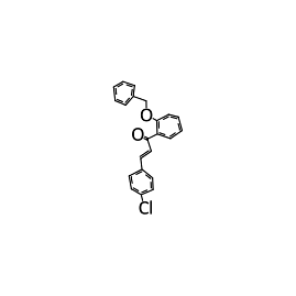 O=C(C=Cc1ccc(Cl)cc1)c1ccccc1OCc1ccccc1